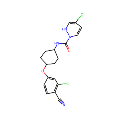 N#Cc1ccc(OC2CCC(NC(=O)N3C=CC(Cl)=CN3)CC2)cc1Cl